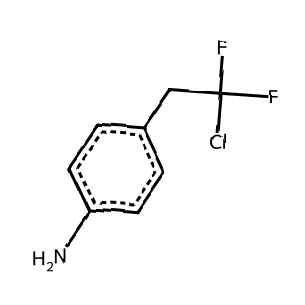 Nc1ccc(CC(F)(F)Cl)cc1